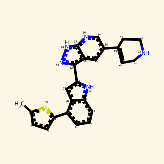 Cc1ccc(-c2cccc3[nH]c(-c4n[nH]c5ncc(C6=CCNCC6)cc45)cc23)s1